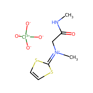 CNC(=O)C[N+](C)=c1sccs1.[O-][Cl+3]([O-])([O-])[O-]